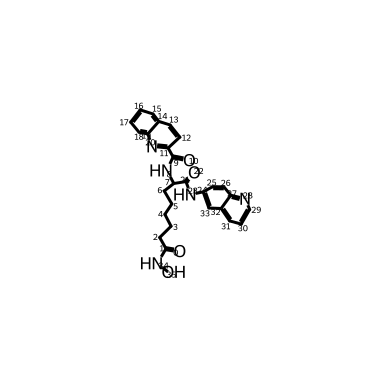 O=C(CCCCCC(NC(=O)c1ccc2ccccc2n1)C(=O)Nc1ccc2ncccc2c1)NO